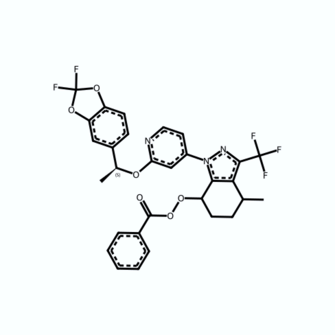 CC1CCC(OOC(=O)c2ccccc2)c2c1c(C(F)(F)F)nn2-c1ccnc(O[C@@H](C)c2ccc3c(c2)OC(F)(F)O3)c1